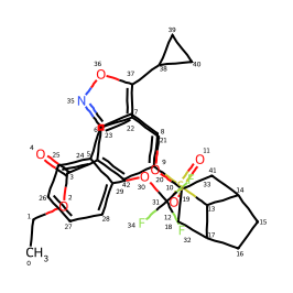 CCOC(=O)c1cccc(S(=O)(=O)C2C3CCC2CC(OCc2c(-c4ccccc4OC(F)(F)F)noc2C2CC2)C3)c1